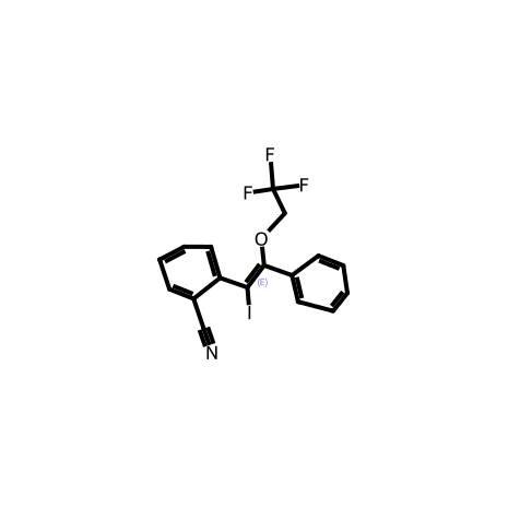 N#Cc1ccccc1/C(I)=C(\OCC(F)(F)F)c1ccccc1